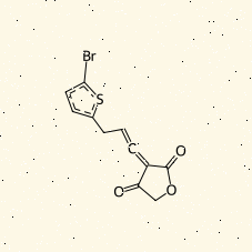 O=C1COC(=O)C1=C=CCc1ccc(Br)s1